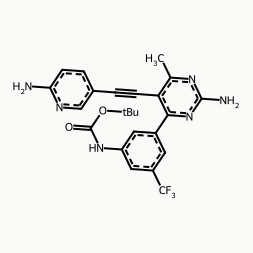 Cc1nc(N)nc(-c2cc(NC(=O)OC(C)(C)C)cc(C(F)(F)F)c2)c1C#Cc1ccc(N)nc1